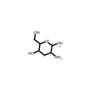 NC1CC(O)C(CO)OC1O